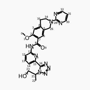 COc1cc2c(cc1C(=O)Nc1cccc(-c3nnnn3C(C)CO)n1)CN(c1ncccn1)CC2